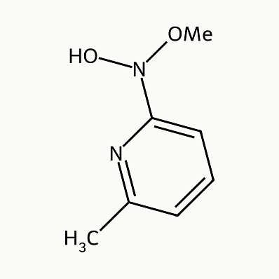 CON(O)c1cccc(C)n1